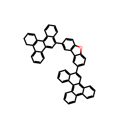 C1=Cc2c(c3ccccc3c3cc(-c4ccc5oc6ccc(-c7cc8c9ccccc9c9ccccc9c8c8ccccc78)cc6c5c4)c4ccccc4c23)CC1